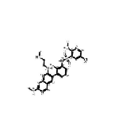 CNCCNc1nc2nc(NC)ncc2cc1-c1cccc(NS(=O)(=O)c2cc(Cl)cnc2OC)c1F